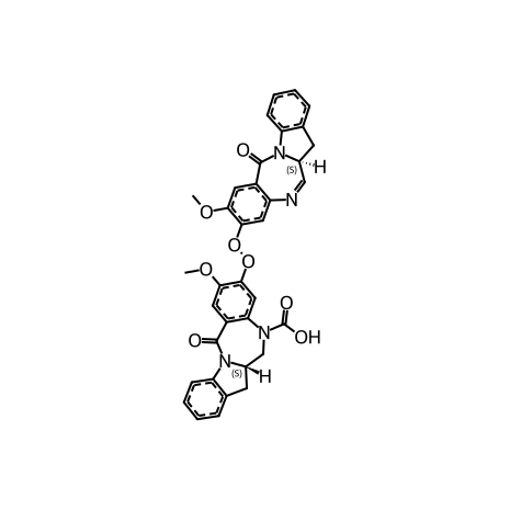 COc1cc2c(cc1OOc1cc3c(cc1OC)C(=O)N1c4ccccc4C[C@H]1CN3C(=O)O)N=C[C@@H]1Cc3ccccc3N1C2=O